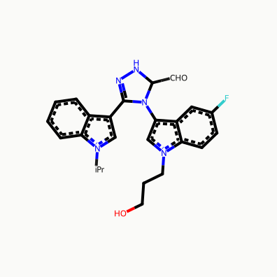 CC(C)n1cc(C2=NNC(C=O)N2c2cn(CCCO)c3ccc(F)cc23)c2ccccc21